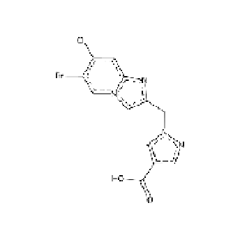 O=C(O)c1cnn(Cc2cn3cc(Br)c(Cl)cc3n2)c1